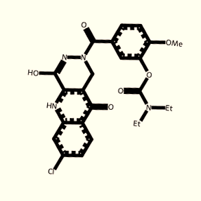 CCN(CC)C(=O)Oc1cc(C(=O)N2Cc3c([nH]c4cc(Cl)ccc4c3=O)C(O)=N2)ccc1OC